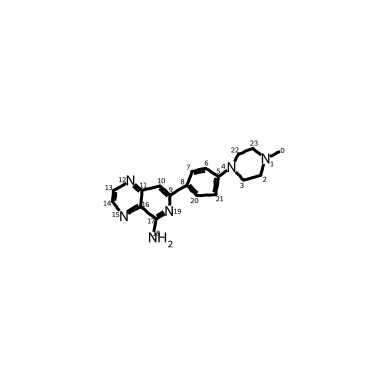 CN1CCN(c2ccc(-c3cc4nccnc4c(N)n3)cc2)CC1